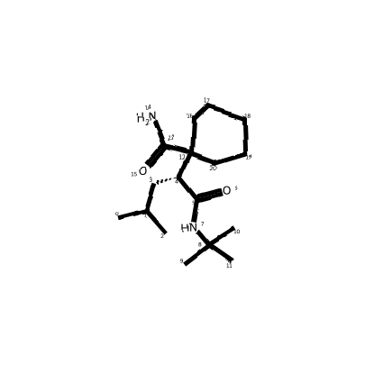 CC(C)C[C@@H](C(=O)NC(C)(C)C)C1(C(N)=O)CCCCC1